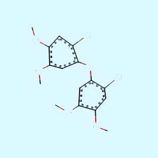 COc1cc(S)c(Oc2cc(OC)c(OC)cc2S)cc1OC